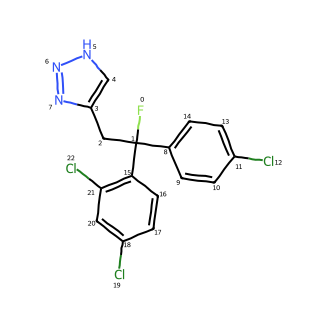 FC(Cc1c[nH]nn1)(c1ccc(Cl)cc1)c1ccc(Cl)cc1Cl